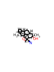 C[C@]1(O)CC(C2(C#N)COC2)[C@H]2[C@H](CC[C@@H]3[C@H]2CC[C@]2(C)CCC[C@@H]32)C1